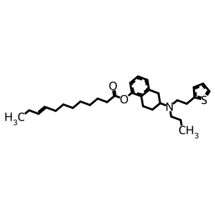 CC/C=C/CCCCCCCC(=O)Oc1cccc2c1CCC(N(CCC)CCc1cccs1)C2